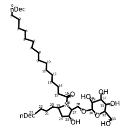 CCCCCCCCCCCCCCCCCCCCCCCCCC(=O)N1C(CCCCCCCCCCCCC)CC(O)C1COC1OC(CO)C(O)C(O)C1O